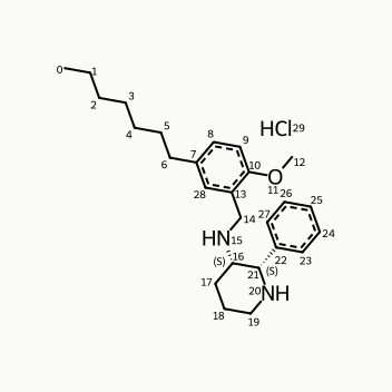 CCCCCCCc1ccc(OC)c(CN[C@H]2CCCN[C@H]2c2ccccc2)c1.Cl